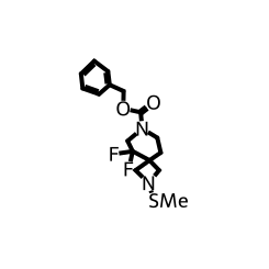 CSN1CC2(CCN(C(=O)OCc3ccccc3)CC2(F)F)C1